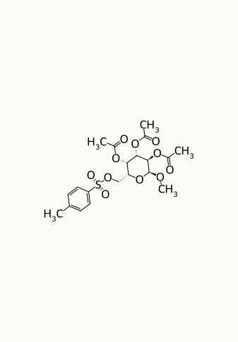 CO[C@H]1O[C@H](COS(=O)(=O)c2ccc(C)cc2)[C@H](OC(C)=O)[C@H](OC(C)=O)[C@H]1OC(C)=O